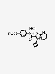 CCCCCCCCc1ccc(NC(=O)C2=C(C3=CC=C3)N3CCCN=C3S2)cc1.Cl